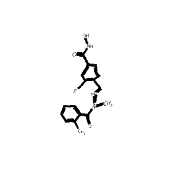 Cc1ccccc1C(=O)N(C)/N=C/c1ccc(C(=O)NO)cc1F